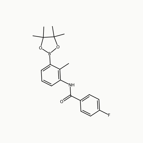 Cc1c(NC(=O)c2ccc(F)cc2)cccc1B1OC(C)(C)C(C)(C)O1